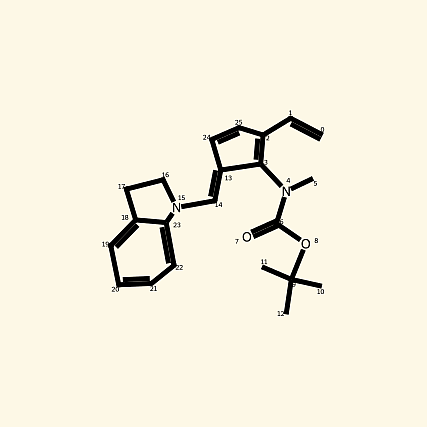 C=CC1=C(N(C)C(=O)OC(C)(C)C)/C(=C/N2CCc3ccccc32)C=C1